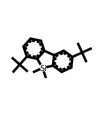 CC(C)(C)c1ccc2c(c1)-c1cccc(C(C)(C)C)c1[Si]2(C)C